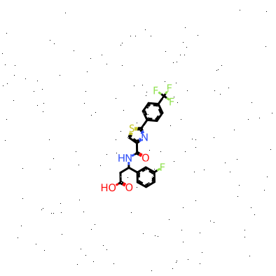 O=C(O)CC(NC(=O)c1csc(-c2ccc(C(F)(F)F)cc2)n1)c1cccc(F)c1